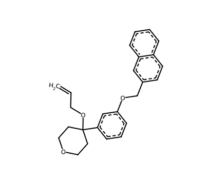 C=CCOC1(c2cccc(OCc3ccc4ccccc4c3)c2)CCOCC1